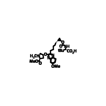 COC(=O)[C@@H]1C[C@@H](Oc2nc3cc(OC)ccc3nc2CCCCC[C@@H]2C[C@H]2OC(=O)N[C@H](C(=O)O)C(C)(C)C)CN1C